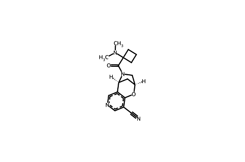 CN(C)C1(C(=O)N2C[C@@H]3C[C@H]2c2cncc(C#N)c2O3)CCC1